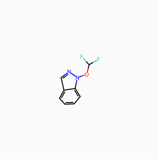 FC(F)On1n[c]c2ccccc21